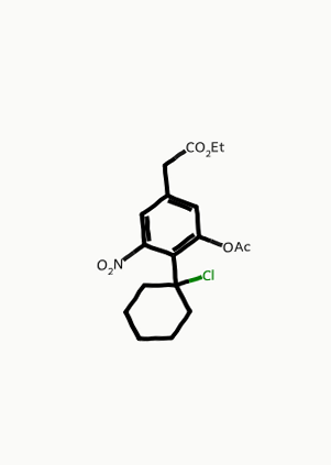 CCOC(=O)Cc1cc(OC(C)=O)c(C2(Cl)CCCCC2)c([N+](=O)[O-])c1